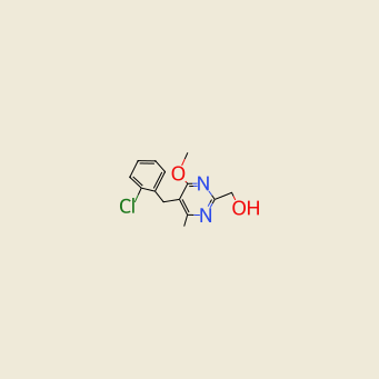 COc1nc(CO)nc(C)c1Cc1ccccc1Cl